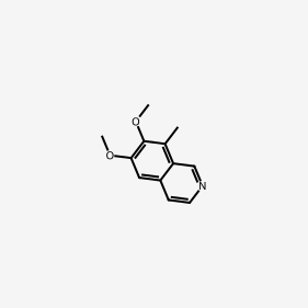 COc1cc2ccncc2c(C)c1OC